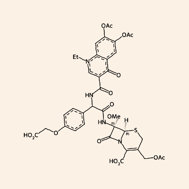 CCn1cc(C(=O)NC(C(=O)N[C@]2(OC)C(=O)N3C(C(=O)O)=C(COC(C)=O)CS[C@@H]32)c2ccc(OCC(=O)O)cc2)c(=O)c2cc(OC(C)=O)c(OC(C)=O)cc21